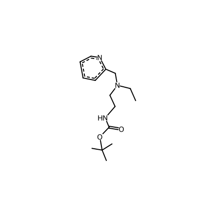 CCN(CCNC(=O)OC(C)(C)C)Cc1ccccn1